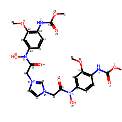 COC(=O)Nc1ccc(N(O)C(=O)Cn2cc[n+](CC(=O)N(O)c3ccc(NC(=O)OC)c(OC)c3)c2)cc1OC